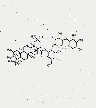 C[C@@H]1O[C@@H](O[C@H]2[C@H](OC(=O)[C@]34CCC(C)(C)C[C@H]3C3=CC[C@@H]5[C@@]6(C)C[C@H](O)[C@H](O)[C@@](C)(C(=O)O)[C@@H]6CC[C@@]5(C)[C@]3(C)CC4)O[C@H](CO)[C@@H](O)[C@@H]2O)[C@H](O)[C@H](O)[C@H]1O[C@@H]1OC[C@@H](O)[C@H](O)[C@H]1O